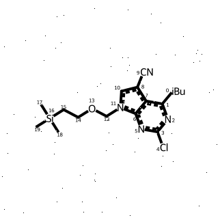 CCC(C)c1nc(Cl)nc2c1c(C#N)cn2COCC[Si](C)(C)C